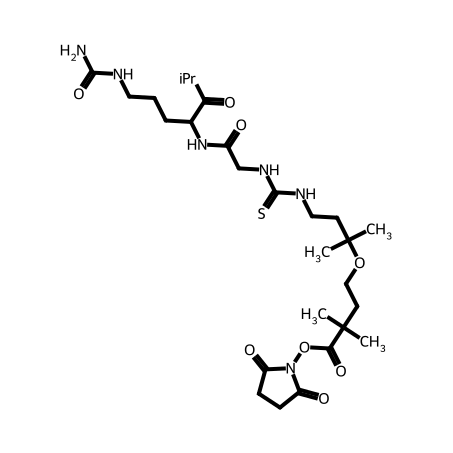 CC(C)C(=O)C(CCCNC(N)=O)NC(=O)CNC(=S)NCCC(C)(C)OCCC(C)(C)C(=O)ON1C(=O)CCC1=O